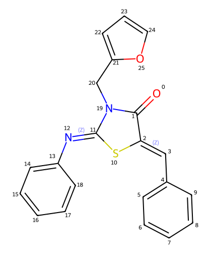 O=C1/C(=C/c2ccccc2)S/C(=N\c2ccccc2)N1Cc1ccco1